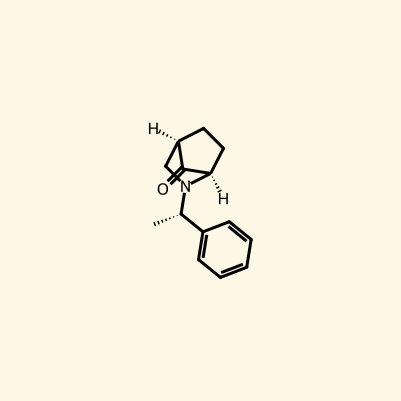 C[C@@H](c1ccccc1)N1C[C@H]2CC[C@@H]1C2=O